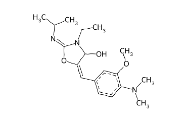 CCN1/C(=N\C(C)C)O/C(=C/c2ccc(N(C)C)c(OC)c2)C1O